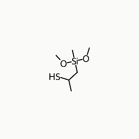 CO[Si](C)(CC(C)S)OC